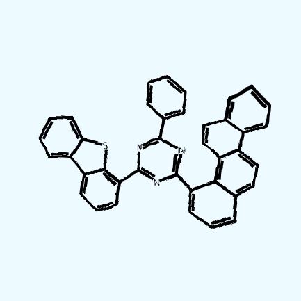 c1ccc(-c2nc(-c3cccc4c3sc3ccccc34)nc(-c3cccc4ccc5c6ccccc6ccc5c34)n2)cc1